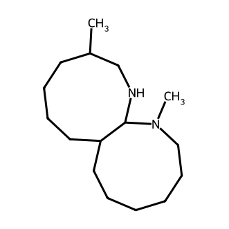 CC1CCCCC2CCCCCCN(C)C2NC1